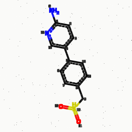 Nc1ccc(-c2ccc(C[SH](=O)=O)cc2)cn1